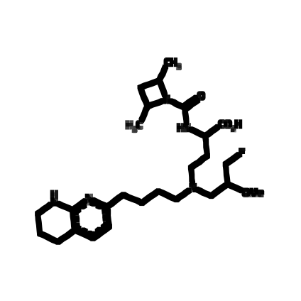 COC(CF)CN(CCCCc1ccc2c(n1)NCCC2)CCC(NC(=O)N1C(C)CC1C)C(=O)O